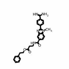 Cn1c(-c2ccc(C(=N)N)cc2)nc2cc(C(=O)NCCC(=O)OCCc3ccccc3)ccc21